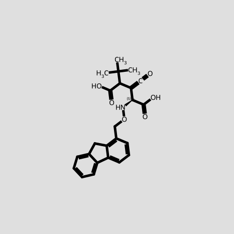 CC(C)(C)C(C(=O)O)C(=C=O)[C@H](NOCc1cccc2c1Cc1ccccc1-2)C(=O)O